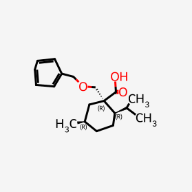 CC(C)[C@H]1CC[C@@H](C)C[C@@]1(COCc1ccccc1)C(=O)O